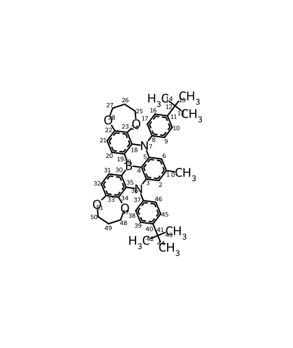 Cc1cc2c3c(c1)N(c1ccc(C(C)(C)C)cc1)c1c(ccc4c1OCCCO4)B3c1ccc3c(c1N2c1ccc(C(C)(C)C)cc1)OCCCO3